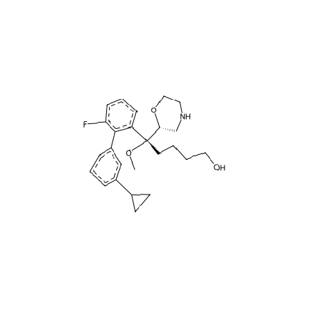 CO[C@](CCCCO)(c1cccc(F)c1-c1cccc(C2CC2)c1)[C@H]1CNCCO1